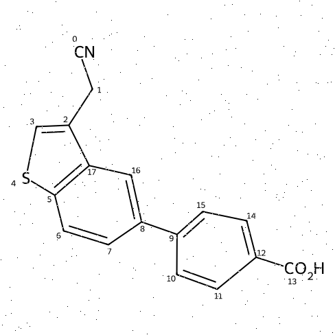 N#CCc1csc2ccc(-c3ccc(C(=O)O)cc3)cc12